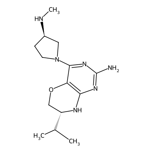 CN[C@@H]1CCN(c2nc(N)nc3c2OC[C@@H](C(C)C)N3)C1